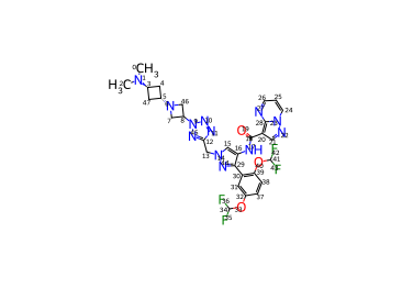 CN(C)[C@H]1C[C@H](N2CC(n3nnc(Cn4cc(NC(=O)c5cnn6cccnc56)c(-c5cc(OC(F)F)ccc5OC(F)F)n4)n3)C2)C1